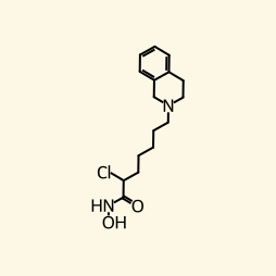 O=C(NO)C(Cl)CCCCCN1CCc2ccccc2C1